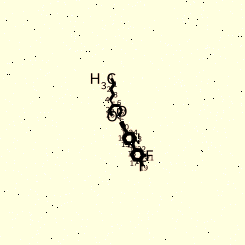 CCCCC[C@H]1CO[C@H](C#Cc2ccc(-c3ccc(F)c(F)c3)nc2)OC1